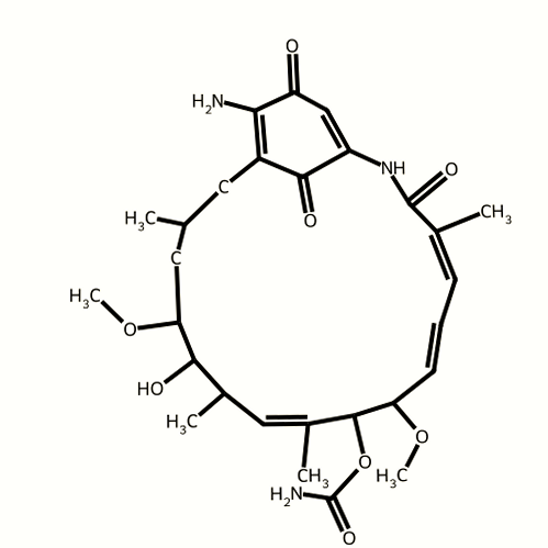 COC1C=CC=C(C)C(=O)NC2=CC(=O)C(N)=C(CC(C)CC(OC)C(O)C(C)C=C(C)C1OC(N)=O)C2=O